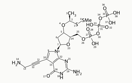 CSS[C@H](C)OC1C[C@H](n2cc(C#CCN)c3c(=O)[nH]c(N)nc32)O[C@@H]1COP(=O)(O)OP(=O)(O)OP(=O)(O)O